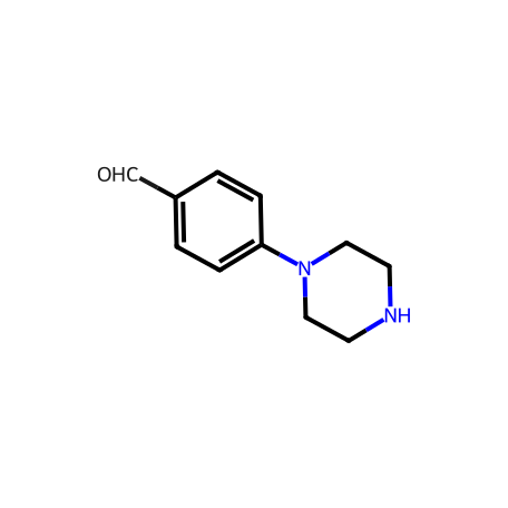 O=Cc1ccc(N2CCNCC2)cc1